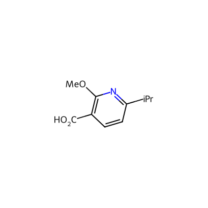 COc1nc(C(C)C)ccc1C(=O)O